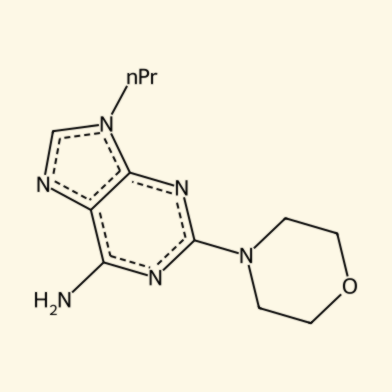 CCCn1cnc2c(N)nc(N3CCOCC3)nc21